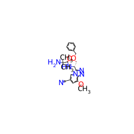 COc1cc(C#N)cn2c([C@@H](COCc3ccccc3)NC(=O)C(C)(C)N)nnc12